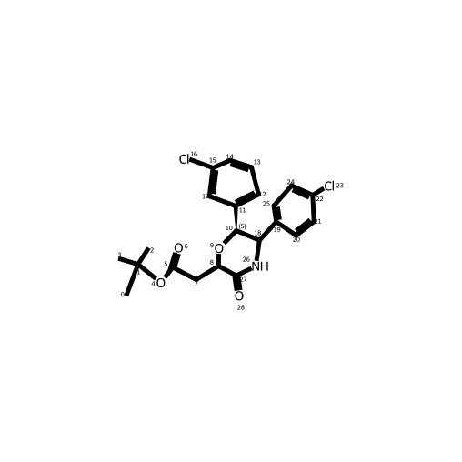 CC(C)(C)OC(=O)CC1O[C@@H](c2cccc(Cl)c2)C(c2ccc(Cl)cc2)NC1=O